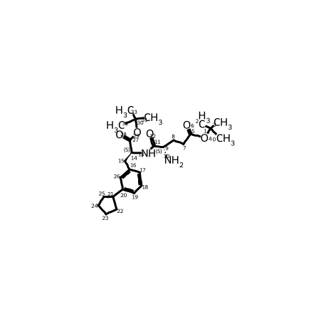 CC(C)(C)OC(=O)CC[C@H](N)C(=O)N[C@@H](Cc1cccc(C2CCCC2)c1)C(=O)OC(C)(C)C